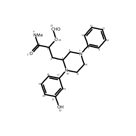 CNC(=O)C(CC1CN(c2ccccc2)CCN1c1cccc(O)c1)OC=O